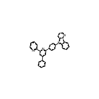 c1ccc(-c2cc(-c3ccc(-n4c5ccccc5c5ncccc54)cc3)nc(-c3ccccn3)c2)cc1